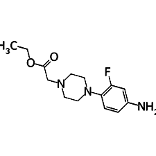 CCOC(=O)CN1CCN(c2ccc(N)cc2F)CC1